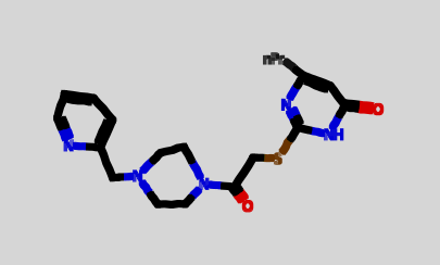 CCCc1cc(=O)[nH]c(SCC(=O)N2CCN(Cc3ccccn3)CC2)n1